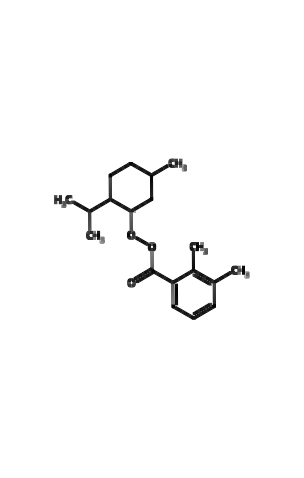 Cc1cccc(C(=O)OO[C]2CC(C)CCC2C(C)C)c1C